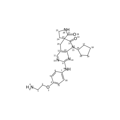 NCCOc1ccc(Nc2ncc3c(n2)N(C2CCCC2)C(=O)C2(CCNC2=O)C3)cc1